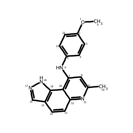 COc1ccc(Nc2cc(C)nc3ccc4cn[nH]c4c23)cc1